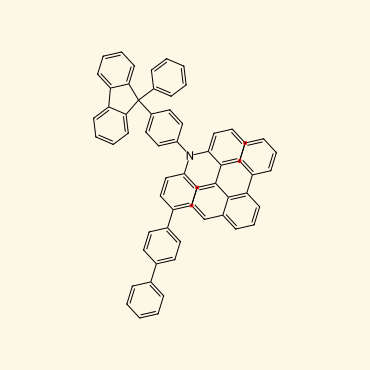 c1ccc(-c2ccc(-c3ccc(N(c4ccc(C5(c6ccccc6)c6ccccc6-c6ccccc65)cc4)c4ccccc4-c4cccc5cccc(-c6ccccc6)c45)cc3)cc2)cc1